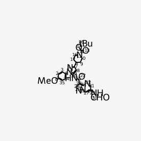 COc1ccc(-n2nc(C3CCN(C(=O)OC(C)(C)C)CC3)cc2NC(=O)c2cnn3cc(NC=O)cnc23)cc1